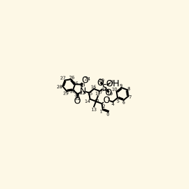 C=C[C@H](OCc1ccccc1)C(C)(C)CC(CCS(=O)(=O)O)N1C(=O)c2ccccc2C1=O